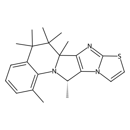 Cc1cccc2c1N1[C@@H](C)c3c(nc4sccn34)C1(C)C(C)(C)C2(C)C